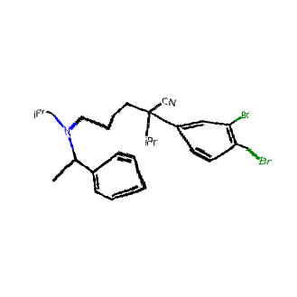 CC(C)N(CCCC(C#N)(c1ccc(Br)c(Br)c1)C(C)C)C(C)c1ccccc1